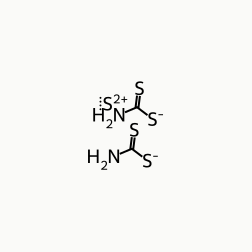 NC(=S)[S-].NC(=S)[S-].[S+2]